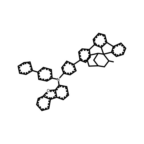 CC1CC2CC(C)C3(c4ccccc4-c4cccc(-c5ccc(-c6ccc(N(c7ccc(-c8ccccc8)cc7)c7cccc8c7oc7ccccc78)cc6)cc5)c43)C(C1)C2